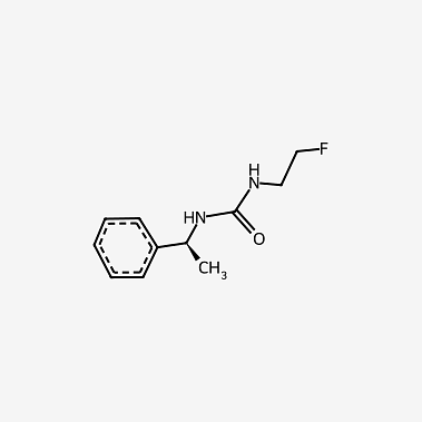 C[C@H](NC(=O)NCCF)c1ccccc1